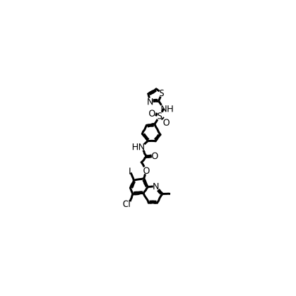 Cc1ccc2c(Cl)cc(I)c(OCC(=O)Nc3ccc(S(=O)(=O)Nc4nccs4)cc3)c2n1